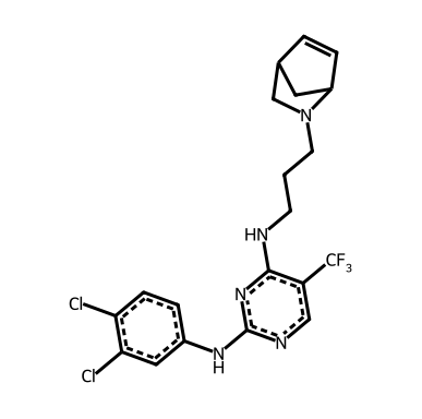 FC(F)(F)c1cnc(Nc2ccc(Cl)c(Cl)c2)nc1NCCCN1CC2C=CC1C2